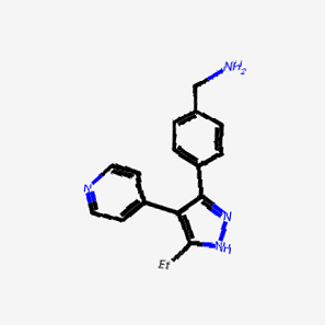 CCc1[nH]nc(-c2ccc(CN)cc2)c1-c1ccncc1